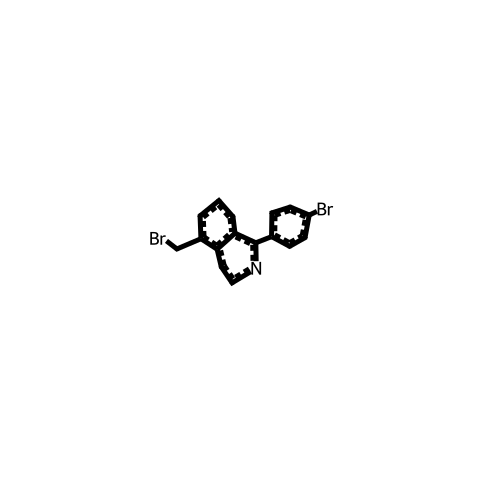 BrCc1cccc2c(-c3ccc(Br)cc3)nccc12